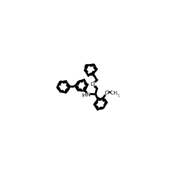 COc1ccccc1C(COCc1ccccc1)Nc1cccc(-c2ccccc2)c1